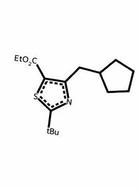 CCOC(=O)c1sc(C(C)(C)C)nc1CC1CCCC1